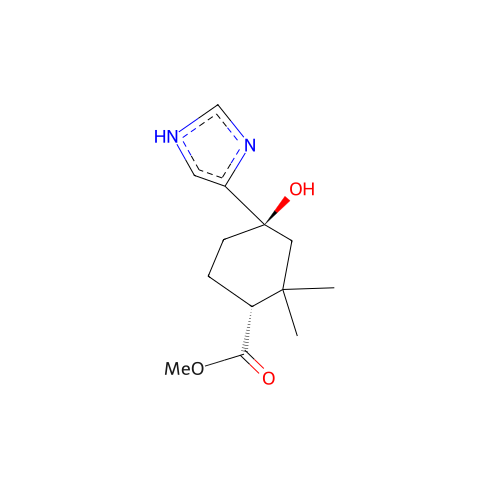 COC(=O)[C@@H]1CC[C@](O)(c2c[nH]cn2)CC1(C)C